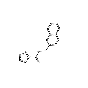 O=C(NCc1ccc2ccccc2c1)n1cccn1